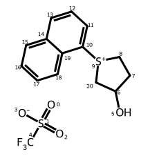 O=S(=O)([O-])C(F)(F)F.OC1CC[S+](c2cccc3ccccc23)C1